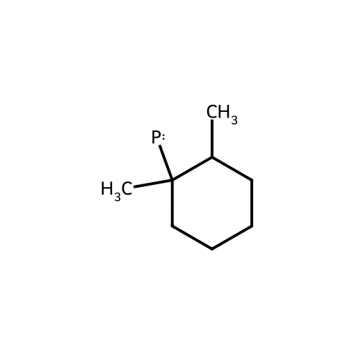 CC1CCCCC1(C)[P]